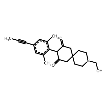 CC#Cc1cc(C)c(C2C(=O)CC3(CCN(CO)CC3)CC2=O)c(C)c1